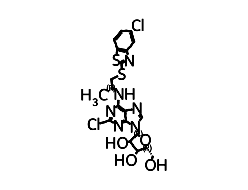 C[C@H](CSc1nc2cc(Cl)ccc2s1)Nc1nc(Cl)nc2c1ncn2[C@@H]1O[C@H](CO)C(O)C1O